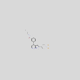 CCCCNC(=O)c1cccc(-c2ccnc3[nH]c(C4=CCN(S(C)(=O)=O)CC4)cc23)c1